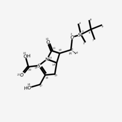 C[C@@H](O[Si](C)(C)C(C)(C)C)C1C(=O)N2C1CC(CO)=S2C(=O)O